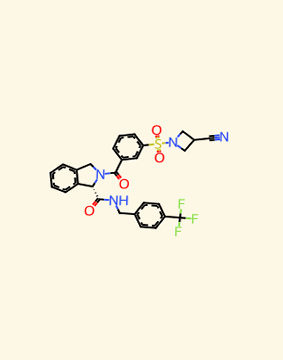 N#CC1CN(S(=O)(=O)c2cccc(C(=O)N3Cc4ccccc4[C@H]3C(=O)NCc3ccc(C(F)(F)F)cc3)c2)C1